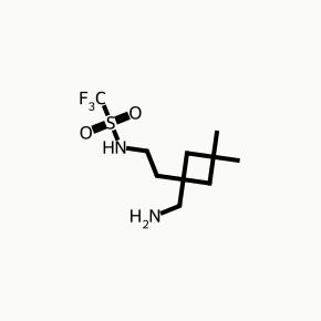 CC1(C)CC(CN)(CCNS(=O)(=O)C(F)(F)F)C1